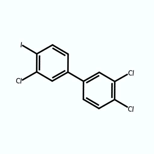 Clc1ccc(-c2ccc(I)c(Cl)c2)cc1Cl